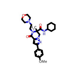 COc1ccc(-c2cc3n(n2)CC(C)(C(=O)NC2CCCCC2)N(CCN2CCOCC2)C3=O)cc1